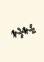 c1ccc2cc(-c3c4ccc(-c5ccnc6c7cc(-c8ccc9c(-c%10cccc%11ccccc%10%11)c%10ccccc%10c(-c%10ccc%11ccccc%11c%10)c9c8)ccc7n7c8ccccc8nc7c56)cc4c(-c4ccc5ccccc5c4)c4ccc(-c5ccc6c(c5)c5cnccc5c5nc7ccccc7n65)cc34)ccc2c1